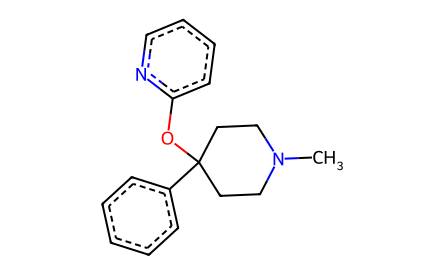 CN1CCC(Oc2ccccn2)(c2ccccc2)CC1